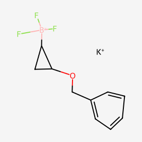 F[B-](F)(F)C1CC1OCc1ccccc1.[K+]